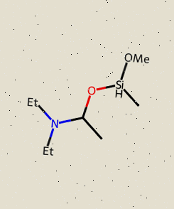 CCN(CC)C(C)O[SiH](C)OC